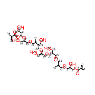 C=C(C)C(=O)OCC(O)COCC(C)COCC(CO)COCC(CO)OCC(CO)C(C)COCC(CO)OC(CCO)OC(=O)C(=C)C